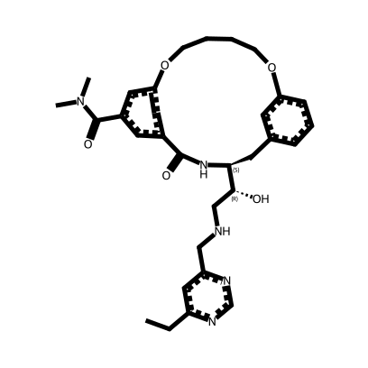 CCc1cc(CNC[C@@H](O)[C@@H]2Cc3cccc(c3)OCCCCOc3cc(cc(C(=O)N(C)C)c3)C(=O)N2)ncn1